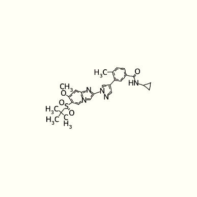 COc1cc2nc(-n3cc(-c4cc(C(=O)NC5CC5)ccc4C)cn3)cn2cc1S(=O)(=O)C(C)(C)C